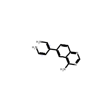 N/C=C\C(=C/N)c1ccc2ncnc(N)c2c1